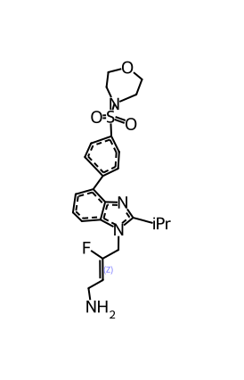 CC(C)c1nc2c(-c3ccc(S(=O)(=O)N4CCOCC4)cc3)cccc2n1C/C(F)=C/CN